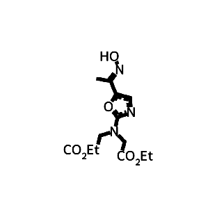 CCOC(=O)CN(CC(=O)OCC)c1ncc(/C(C)=N/O)o1